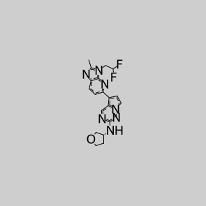 Cc1nc2ccc(-c3ccn4nc(N[C@@H]5CCOC5)ncc34)nc2n1CC(F)F